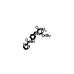 CC(C)(C)OC(=O)N[C@@H](Cc1ccc(NC(=O)c2ncccn2)cc1)C(N)=O